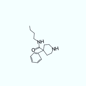 CCCCNC(=O)C1(c2ccccc2)CCNCC1